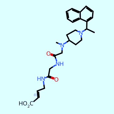 CC(c1cccc2ccccc12)N1CCC(N(C)CC(=O)NCC(=O)NC/C=C/C(=O)O)CC1